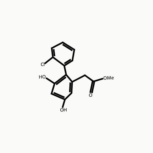 COC(=O)Cc1cc(O)cc(O)c1-c1ccccc1Cl